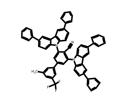 Cc1cc(-c2cc(-n3c4ccc(-c5ccccc5)cc4c4cc(-c5ccccc5)ccc43)c(C#N)c(-n3c4ccc(-c5ccccc5)cc4c4cc(-c5ccccc5)ccc43)c2)cc(C(F)(F)F)c1